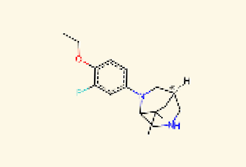 CCOc1ccc(N2C[C@H]3CNCC2C(C)(C)C3)cc1F